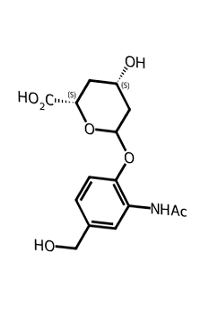 CC(=O)Nc1cc(CO)ccc1OC1C[C@@H](O)C[C@@H](C(=O)O)O1